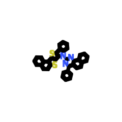 c1ccc(-c2nc(-n3c4ccccc4c4sc5c(sc6ccc7ccccc7c65)c43)nc3c2ccc2ccccc23)cc1